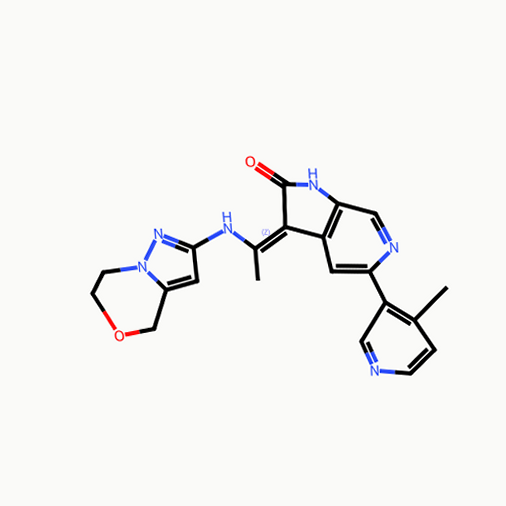 C/C(Nc1cc2n(n1)CCOC2)=C1/C(=O)Nc2cnc(-c3cnccc3C)cc21